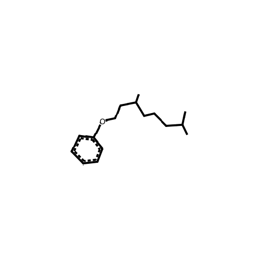 CC(C)CCCC(C)CCOc1cc[c]cc1